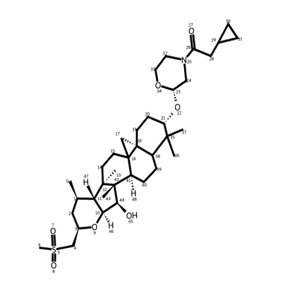 C[C@@H]1C[C@H](CS(C)(=O)=O)O[C@H]2[C@H]1[C@@]1(C)CCC34C[C@@]35CC[C@H](O[C@H]3CN(C(=O)CC6CC6)CCO3)C(C)(C)C5CC[C@H]4[C@]1(C)[C@H]2O